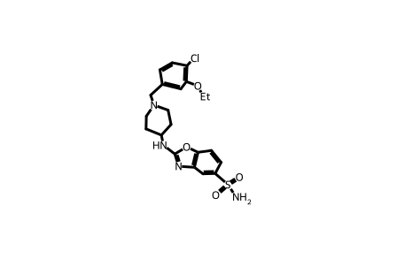 CCOc1cc(CN2CCC(Nc3nc4cc(S(N)(=O)=O)ccc4o3)CC2)ccc1Cl